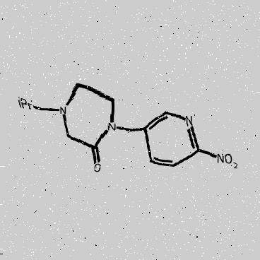 CC(C)N1CCN(c2ccc([N+](=O)[O-])nc2)C(=O)C1